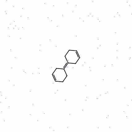 C1=CC/C(=C2/CC=CCC2)CC1